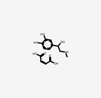 CNCC(O)c1ccc(O)c(O)c1.O=C(O)/C=C\C(=O)O